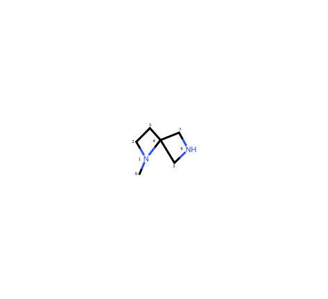 CN1CCC12CNC2